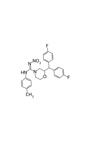 Cc1ccc(NC(=N[N+](=O)[O-])N2CCOC(C(c3ccc(F)cc3)c3ccc(F)cc3)C2)cc1